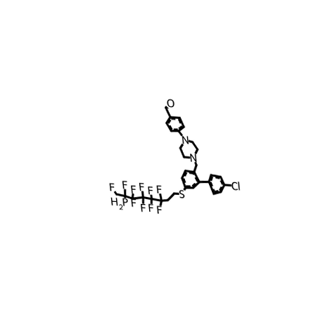 O=Cc1ccc(N2CCN(Cc3ccc(SCCC(F)(F)C(F)(F)C(F)(F)C(F)(F)C(F)(P)CF)cc3-c3ccc(Cl)cc3)CC2)cc1